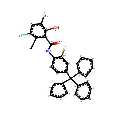 Cc1c(F)cc(C(C)(C)C)c(O)c1C(=O)Nc1ccc(C(c2ccccc2)(c2ccccc2)c2ccccc2)cc1Br